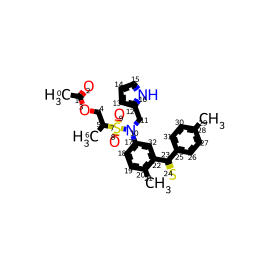 CC(=O)OCC(C)S(=O)(=O)N(Cc1ccc[nH]1)c1ccc(C)c(C(=S)c2ccc(C)cc2)c1